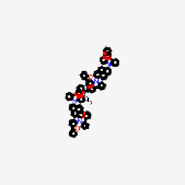 CC(C)(c1ccc(-c2ccccc2N(c2ccc3ccc4c(N(c5ccccc5-c5ccccc5)c5cccc6c5oc5ccccc56)ccc5ccc2c3c54)c2cccc3c2oc2ccccc23)cc1)c1ccc(-c2ccccc2N(c2ccc3ccc4c(N(c5ccccc5-c5ccccc5)c5cccc6c5oc5ccccc56)ccc5ccc2c3c54)c2cccc3c2oc2ccccc23)cc1